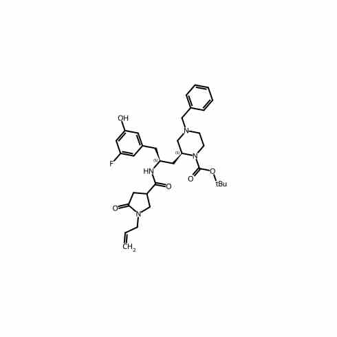 C=CCN1CC(C(=O)N[C@@H](Cc2cc(O)cc(F)c2)C[C@H]2CN(Cc3ccccc3)CCN2C(=O)OC(C)(C)C)CC1=O